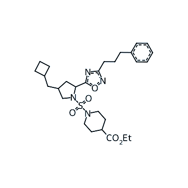 CCOC(=O)C1CCN(S(=O)(=O)N2CC(CC3CCC3)CC2c2nc(CCCc3ccccc3)no2)CC1